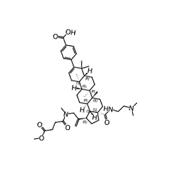 C=C(CN(C)C(=O)CCC(=O)OC)[C@@H]1CC[C@]2(C(=O)NCCN(C)C)CC[C@]3(C)[C@H](CC[C@@H]4[C@@]5(C)CC=C(c6ccc(C(=O)O)cc6)C(C)(C)[C@@H]5CC[C@]43C)[C@@H]12